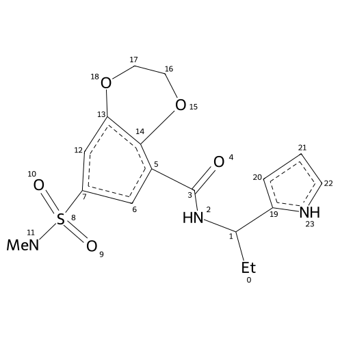 CCC(NC(=O)c1cc(S(=O)(=O)NC)cc2c1OCCO2)c1ccc[nH]1